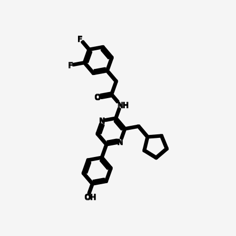 O=C(Cc1ccc(F)c(F)c1)Nc1ncc(-c2ccc(O)cc2)nc1CC1CCCC1